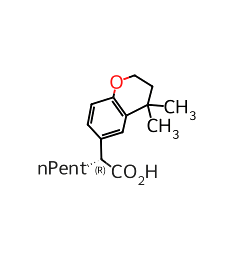 CCCCC[C@@H](C(=O)O)c1ccc2c(c1)C(C)(C)CCO2